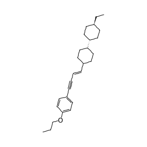 CCCOc1ccc(C#C/C=C/C2CCC([C@H]3CC[C@H](CC)CC3)CC2)cc1